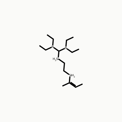 CC=C(C)[SiH2]CC[SiH2]C(N(CC)CC)N(CC)CC